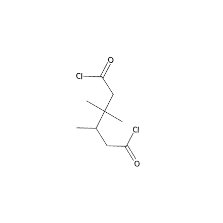 CC(CC(=O)Cl)C(C)(C)CC(=O)Cl